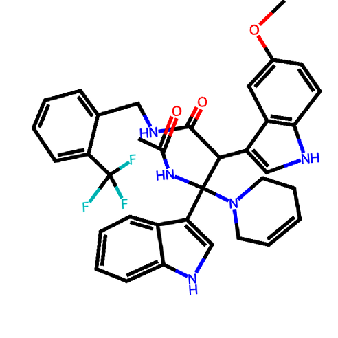 COc1ccc2[nH]cc(C(C(=O)NCc3ccccc3C(F)(F)F)C(NC(C)=O)(c3c[nH]c4ccccc34)N3CC=CCC3)c2c1